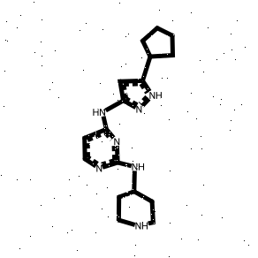 c1cc(Nc2cc(C3CCCC3)[nH]n2)nc(NC2CCNCC2)n1